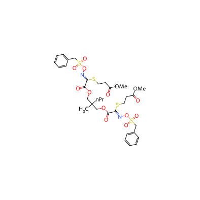 CCCC(C)(COC(=O)/C(=N/OS(=O)(=O)Cc1ccccc1)SCCC(=O)OC)COC(=O)/C(=N/OS(=O)(=O)Cc1ccccc1)SCCC(=O)OC